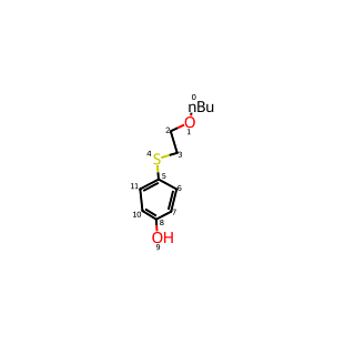 CCCCOCCSc1ccc(O)cc1